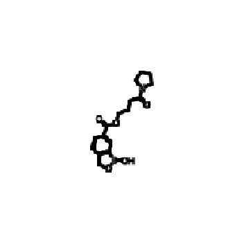 O=C(OCCCC(=O)N1CCCC1)c1ccc2c(c1)B(O)OC2